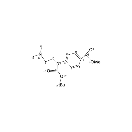 COC(=O)c1ccc(N(CCN(C)C)C(=O)OC(C)(C)C)cc1